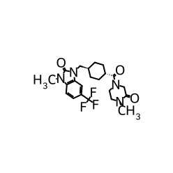 CN1CCN(C(=O)[C@H]2CC[C@H](Cn3c(=O)n(C)c4ccc(C(F)(F)F)cc43)CC2)CC1=O